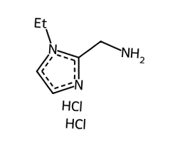 CCn1ccnc1CN.Cl.Cl